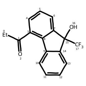 CCC(=O)c1cccc2c1-c1ccccc1C2(O)C(F)(F)F